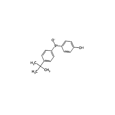 CC(C)(C)c1ccc([S+]([O-])c2ccc(O)cc2)cc1